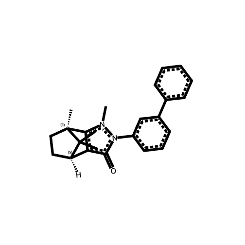 Cn1c2c(c(=O)n1-c1cccc(-c3ccccc3)c1)[C@H]1CC[C@]2(C)C1(C)C